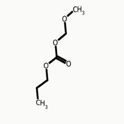 CCCOC(=O)OCOC